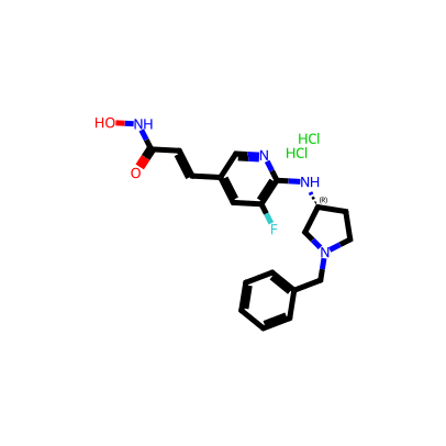 Cl.Cl.O=C(C=Cc1cnc(N[C@@H]2CCN(Cc3ccccc3)C2)c(F)c1)NO